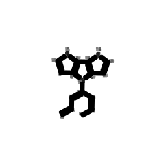 C=C/C=C(\C=C/C)n1c2ccsc2c2sccc21